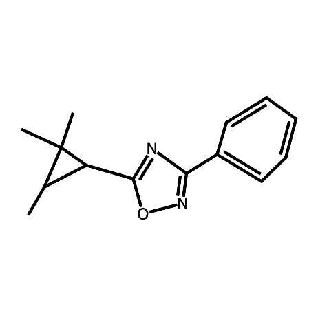 CC1C(c2nc(-c3ccccc3)no2)C1(C)C